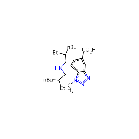 CCCCC(CC)CNCC(CC)CCCC.Cn1nnc2cc(C(=O)O)ccc21